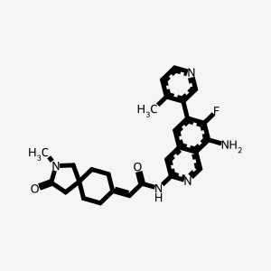 Cc1ccncc1-c1cc2cc(NC(=O)C=C3CCC4(CC3)CC(=O)N(C)C4)ncc2c(N)c1F